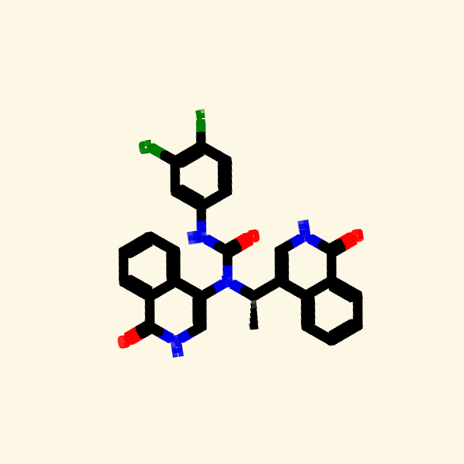 C[C@@H](c1c[nH]c(=O)c2ccccc12)N(C(=O)Nc1ccc(F)c(Cl)c1)c1c[nH]c(=O)c2ccccc12